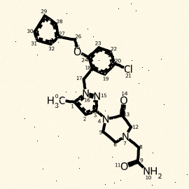 Cc1cc(N2CCN(CC(N)=O)CC2=O)nn1Cc1cc(Cl)ccc1OCc1ccccc1